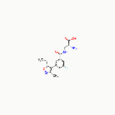 CCc1onc(C)c1-c1cc(F)cc(C(=O)NC[C@@H](N)C(=O)O)c1